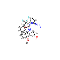 COc1ccc(C(NC2=N[C@](C)(c3nc(N)ccc3F)C(F)(F)CO2)(c2ccccc2)c2cccc(OC)c2)cc1